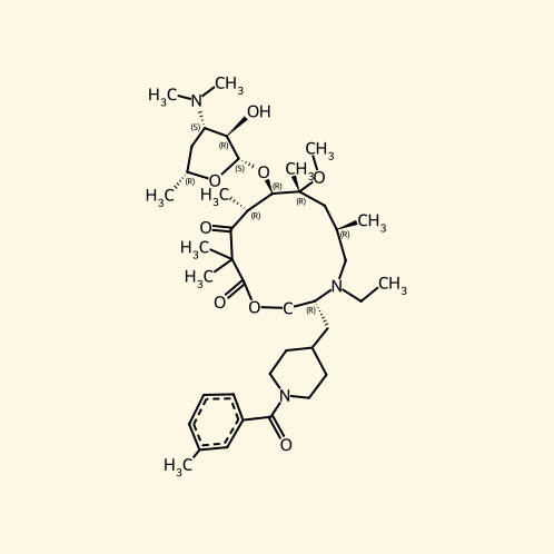 CCN1C[C@H](C)C[C@@](C)(OC)[C@H](O[C@@H]2O[C@H](C)C[C@H](N(C)C)[C@H]2O)[C@@H](C)C(=O)C(C)(C)C(=O)OC[C@H]1CC1CCN(C(=O)c2cccc(C)c2)CC1